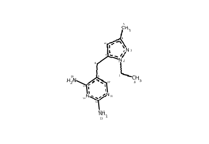 CCn1nc(C)cc1Cc1cnc(N)nc1N